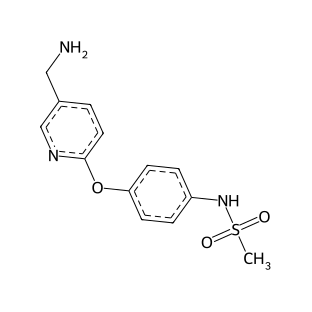 CS(=O)(=O)Nc1ccc(Oc2ccc(CN)cn2)cc1